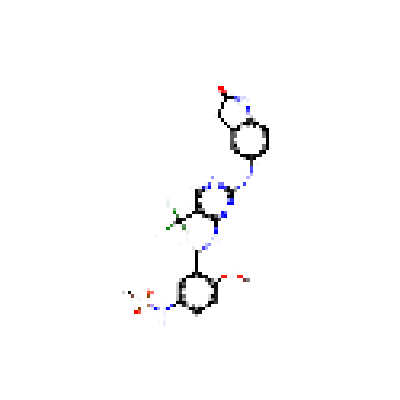 COc1ccc(NS(C)(=O)=O)cc1CNc1nc(Nc2ccc3c(c2)CC(=O)N3)ncc1C(F)(F)F